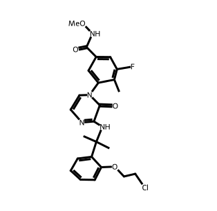 CONC(=O)c1cc(F)c(C)c(-n2ccnc(NC(C)(C)c3ccccc3OCCCl)c2=O)c1